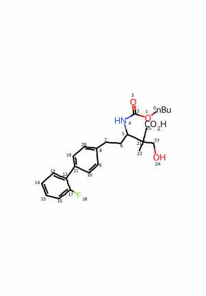 CCCCOC(=O)NC(CCc1ccc(-c2ccccc2F)cc1)C(C)(CO)C(=O)O